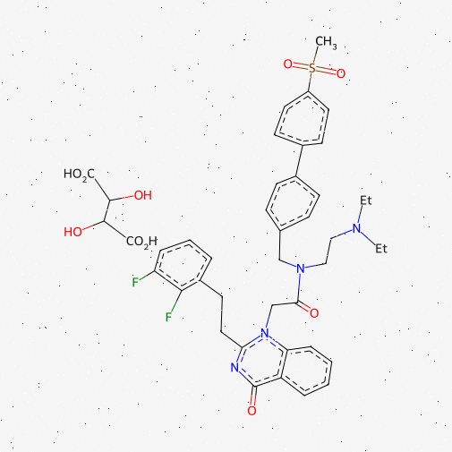 CCN(CC)CCN(Cc1ccc(-c2ccc(S(C)(=O)=O)cc2)cc1)C(=O)Cn1c(CCc2cccc(F)c2F)nc(=O)c2ccccc21.O=C(O)C(O)C(O)C(=O)O